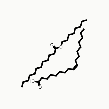 CCCCCCCC/C=C\CCCCCCCC(=O)O.CCCCCCCCCCCC(=O)OCCCCCCCC